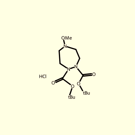 CON1CCN(C(=O)OC(C)(C)C)N(C(=O)OC(C)(C)C)CC1.Cl